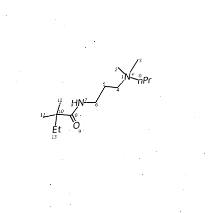 CCC[N+](C)(C)CCCNC(=O)C(C)(C)CC